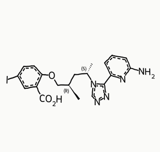 C[C@@H](COc1ccc(I)cc1C(=O)O)C[C@H](C)n1cnnc1-c1cccc(N)n1